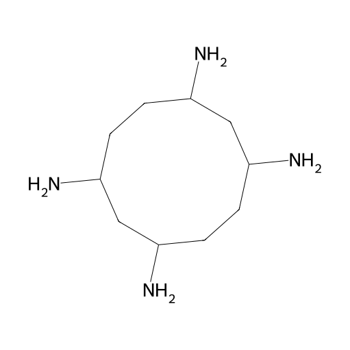 NC1CCC(N)CC(N)CCC(N)C1